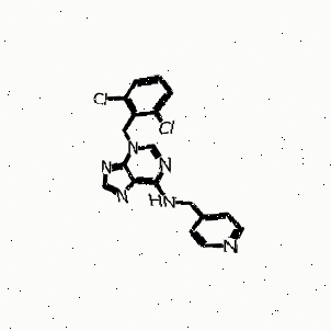 Clc1cccc(Cl)c1Cn1cnc(NCc2ccncc2)c2ncnc1-2